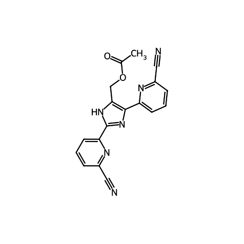 CC(=O)OCc1[nH]c(-c2cccc(C#N)n2)nc1-c1cccc(C#N)n1